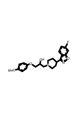 COc1ccc(OCC(O)CN2CCC(c3noc4cc(F)ccc34)CC2)cc1